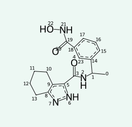 CC(NC(=O)c1[nH]nc2c1CCCC2)c1cccc(C(=O)NO)c1